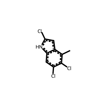 Cc1c(Cl)c(Cl)cc2[nH]c(Cl)cc12